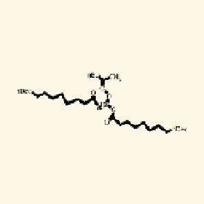 CCCCCCCCCCCCCCCCCC(=O)O[SiH](OOC(C)CCCC)OC(=O)CCCCCCCCCCCCCCCCC